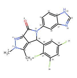 Cc1c2c(nn1C)C(=O)N(c1ccc3[nH]cnc3c1)C2c1cc(F)cc(F)c1F